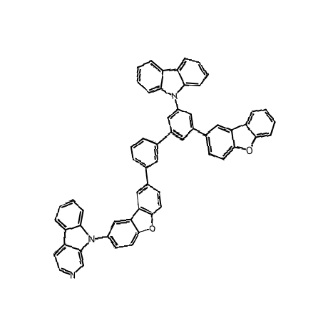 c1cc(-c2cc(-c3ccc4oc5ccccc5c4c3)cc(-n3c4ccccc4c4ccccc43)c2)cc(-c2ccc3oc4ccc(-n5c6ccccc6c6ccncc65)cc4c3c2)c1